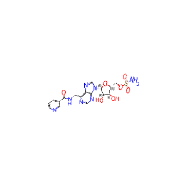 NS(=O)(=O)OC[C@H]1O[C@@H](n2cnc3c(CNC(=O)c4cccnc4)ncnc32)[C@H](O)[C@@H]1O